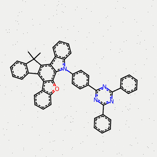 CC1(C)c2ccccc2-c2c1c1c3ccccc3n(-c3ccc(-c4nc(-c5ccccc5)nc(-c5ccccc5)n4)cc3)c1c1oc3ccccc3c21